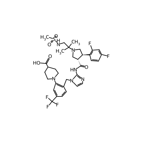 CC(C)(CNS(C)(=O)=O)N1C[C@@H](C(=O)Nc2nccn2Cc2ccc(C(F)(F)F)cc2N2CCC(C(=O)O)CC2)[C@H](c2ccc(F)cc2F)C1